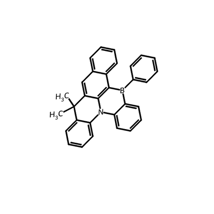 CC1(C)c2ccccc2N2c3ccccc3B(c3ccccc3)c3c2c1cc1ccccc31